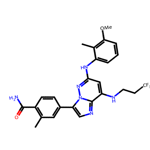 COc1cccc(Nc2cc(NCCC(F)(F)F)c3ncc(-c4ccc(C(N)=O)c(C)c4)n3n2)c1C